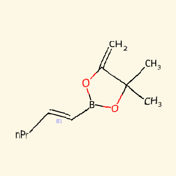 C=C1OB(/C=C/CCC)OC1(C)C